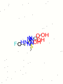 CCCSc1nc(N[C@@H]2C[C@H]2c2ccc(F)cc2)c2nnn([C@@H]3C[C@H](OCCO)[C@@H](O)[C@H]3O)c2n1